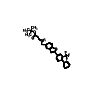 CC(C)(C)OC(=O)CCNCc1ccc2oc(-c3ccc(-c4ccccc4)c(C(F)(F)F)c3)cc2c1